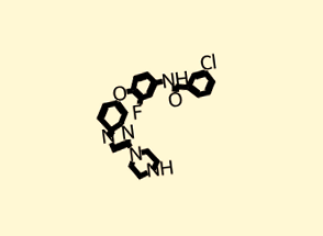 O=C(Nc1ccc(Oc2ccc3ncc(N4CCNCC4)nc3c2)c(F)c1)c1cccc(Cl)c1